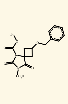 CC(C)(C)OC(=O)N1C(=O)N(C(=O)O)C(=O)C12CC(OCc1ccccc1)C2